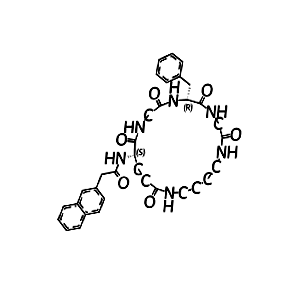 O=C1CC[C@H](NC(=O)Cc2ccc3ccccc3c2)C(=O)NCC(=O)N[C@H](Cc2ccccc2)C(=O)NCC(=O)NCCCCN1